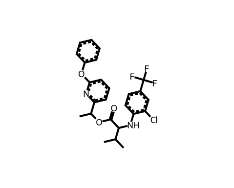 CC(OC(=O)C(Nc1ccc(C(F)(F)F)cc1Cl)C(C)C)c1cccc(Oc2ccccc2)n1